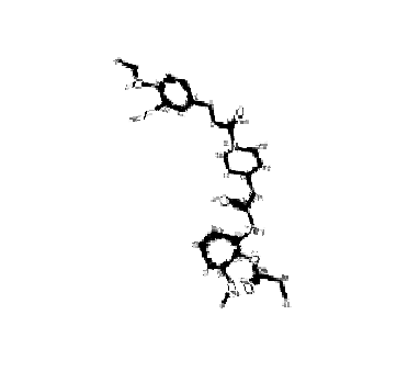 CCOc1ccc(CCC(=O)N2CCC(CC(=O)Nc3cccc(OC)c3OC(=O)CC)CC2)cc1F